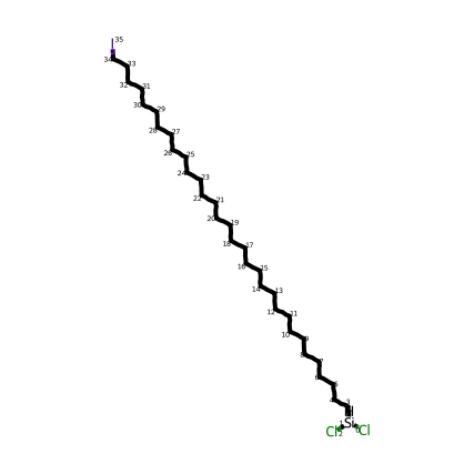 Cl[SiH](Cl)CCCCCCCCCCCCCCCCCCCCCCCCCCCCCCCCI